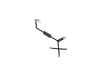 NCC#CC(=O)C(F)(F)F